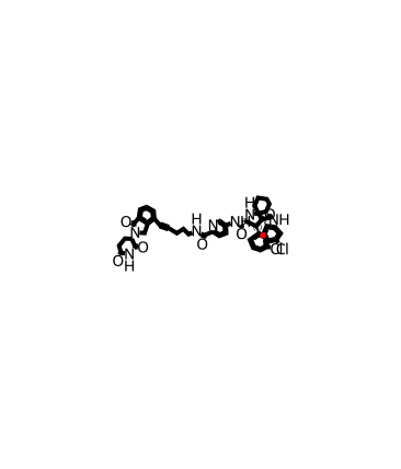 O=C1CCC(N2Cc3c(C#CCCCNC(=O)c4ccc(NC(=O)[C@@H]5NC6(CCCCC6)[C@@]6(C(=O)Nc7cc(Cl)ccc76)[C@H]5c5cccc(Cl)c5)cn4)cccc3C2=O)C(=O)N1